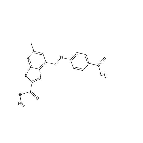 Cc1cc(COc2ccc(C(N)=O)cc2)c2cc(C(=O)NN)sc2n1